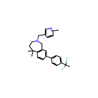 Cc1ccc(CN2CCC(C)(C)c3ccc(-c4ccc(C(C)(F)F)cc4)cc3C2)cn1